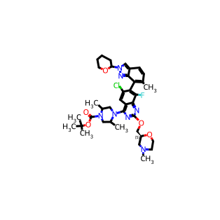 Cc1ccc2cn(C3CCCCO3)nc2c1-c1c(Cl)cc2c(N3CC(C)N(C(=O)OC(C)(C)C)CC3C)nc(OC[C@@H]3CN(C)CCO3)nc2c1F